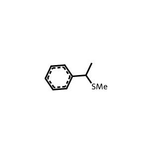 CSC(C)c1ccccc1